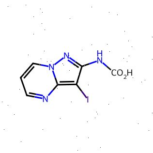 O=C(O)Nc1nn2cccnc2c1I